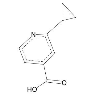 O=C(O)c1ccnc(C2CC2)c1